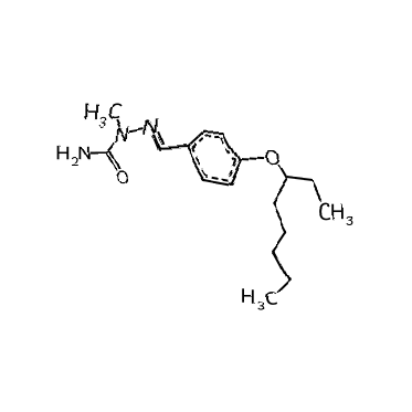 CCCCCC(CC)Oc1ccc(C=NN(C)C(N)=O)cc1